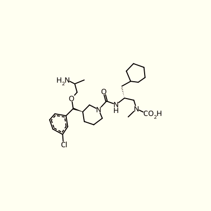 CC(N)COC(c1cccc(Cl)c1)[C@@H]1CCCN(C(=O)N[C@H](CC2CCCCC2)CN(C)C(=O)O)C1